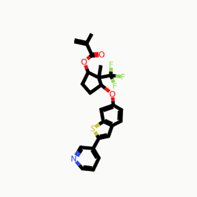 C=C(C)C(=O)OC1CCC(Oc2ccc3cc(-c4cccnc4)sc3c2)C1(C)C(F)(F)F